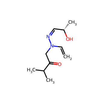 C=CN(CC(=O)C(C)C)/N=C\[C@H](C)O